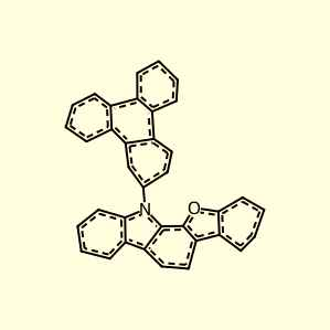 c1ccc2c(c1)oc1c2ccc2c3ccccc3n(-c3ccc4c5ccccc5c5ccccc5c4c3)c21